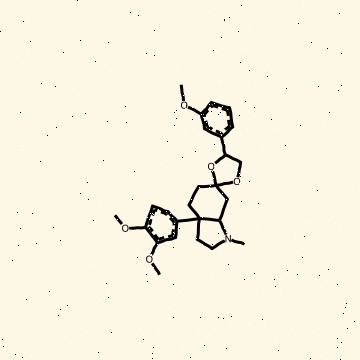 COc1cccc(C2COC3(CCC4(c5ccc(OC)c(OC)c5)CCN(C)C4C3)O2)c1